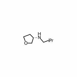 CC(C)CN[C@H]1CCOC1